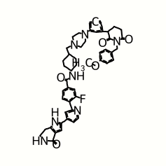 COc1ccc(CN2C(=O)CCC(c3cccc(N4CCN(CC5CCC(NC(=O)c6ccc(-c7cc(-c8cc9c([nH]8)CCNC9=O)ccn7)c(F)c6)CC5)CC4)c3)C2=O)cc1